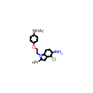 CCCc1cc2c(Cl)c(N)ccc2n1CCOc1ccc(NC(C)=O)cc1